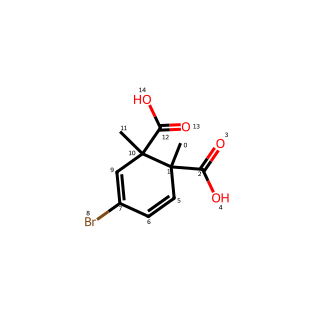 CC1(C(=O)O)C=CC(Br)=CC1(C)C(=O)O